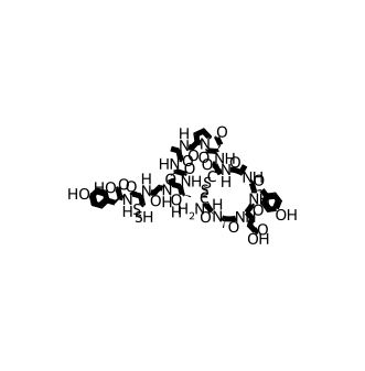 CC(NC(=O)C1CCCN1C(=O)[C@H](CC=O)NC(=O)C1CSSCC(N)C(=O)N[C@@H](C)C(=O)NC(CCC(=O)O)C(=O)N[C@@H](Cc2ccc(O)cc2)C(=O)NC(C)C(=O)N1)C(=O)N[C@@H](C)C(=O)NC(C(=O)NCC(=O)NC(CSS)C(=O)N[C@@H](Cc1ccc(O)cc1)C(=O)O)[C@H](C)O